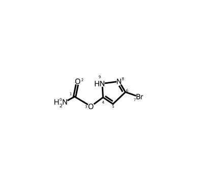 NC(=O)Oc1cc(Br)n[nH]1